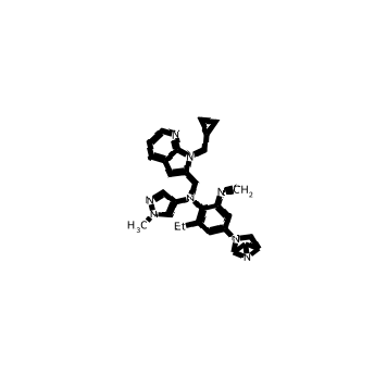 C=Nc1cc(N2CC3C4C2N34)cc(CC)c1N(Cc1cc2cccnc2n1CC1CC1)c1cnn(C)c1